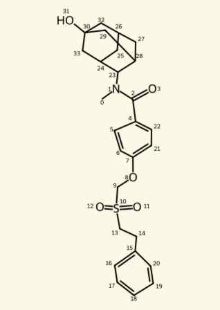 CN(C(=O)c1ccc(OCS(=O)(=O)CCc2ccccc2)cc1)C1C2CC3CC1CC(O)(C3)C2